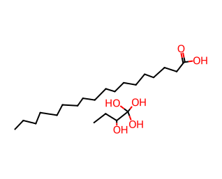 CCC(O)C(O)(O)O.CCCCCCCCCCCCCCCCCC(=O)O